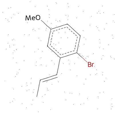 CC=Cc1cc(OC)ccc1Br